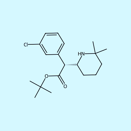 CC1(C)CCCC([C@H](C(=O)OC(C)(C)C)c2cccc(Cl)c2)N1